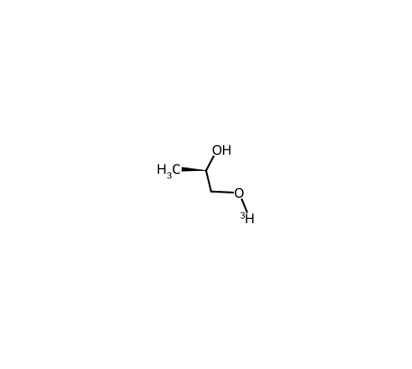 [3H]OC[C@@H](C)O